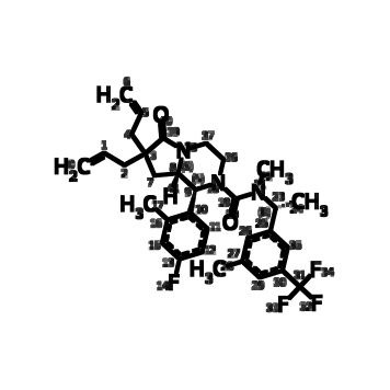 C=CCC1(CC=C)C[C@H]2[C@H](c3ccc(F)cc3C)N(C(=O)N(C)[C@H](C)c3cc(C)cc(C(F)(F)F)c3)CCN2C1=O